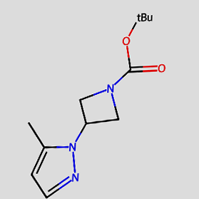 Cc1ccnn1C1CN(C(=O)OC(C)(C)C)C1